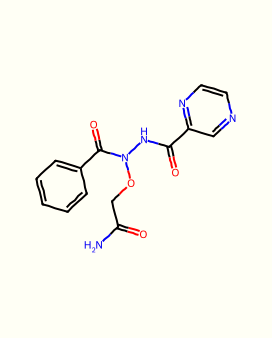 NC(=O)CON(NC(=O)c1cnccn1)C(=O)c1ccccc1